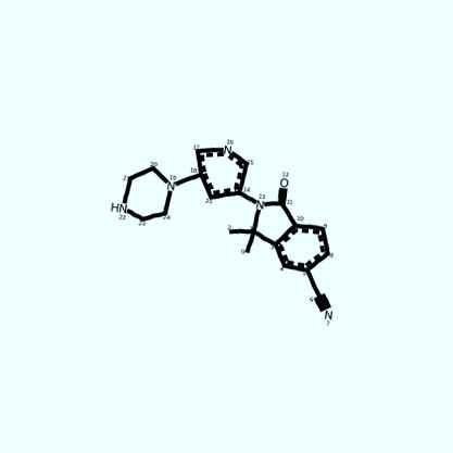 CC1(C)c2cc(C#N)ccc2C(=O)N1c1cncc(N2CCNCC2)c1